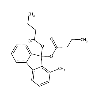 CCCC(=O)OC1(OC(=O)CCC)c2ccccc2-c2cccc(C)c21